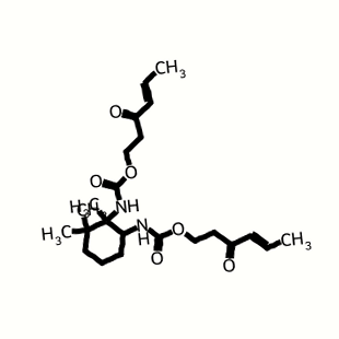 CC=CC(=O)CCOC(=O)NC1CCCC(C)(C)C1(C)NC(=O)OCCC(=O)C=CC